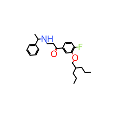 CCCC(CCC)COc1cc(C(=O)CCNC(C)c2ccccc2)ccc1F